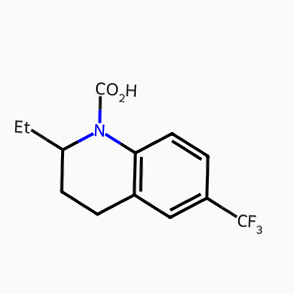 CCC1CCc2cc(C(F)(F)F)ccc2N1C(=O)O